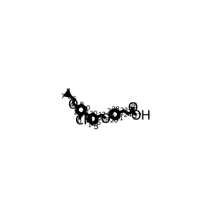 Cc1cc(OCC2CC2)ccc1-c1cccc(COc2ccc(CCC(=O)O)cc2)c1